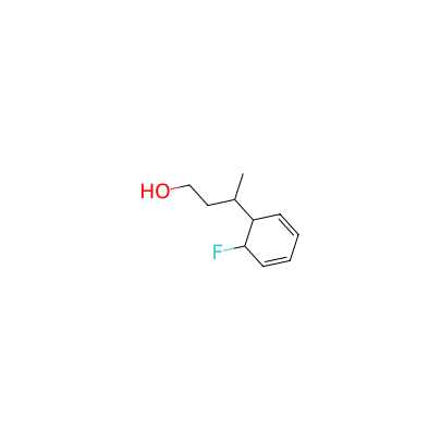 CC(CCO)C1C=CC=CC1F